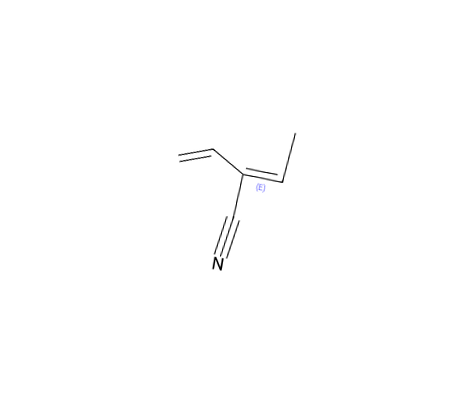 C=C/C(C#N)=C\C